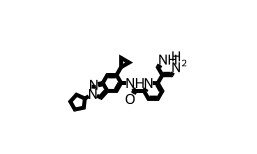 N=C/C(=C\N)c1cccc(C(=O)Nc2cc3cn(C4CCCC4)nc3cc2C2CC2)n1